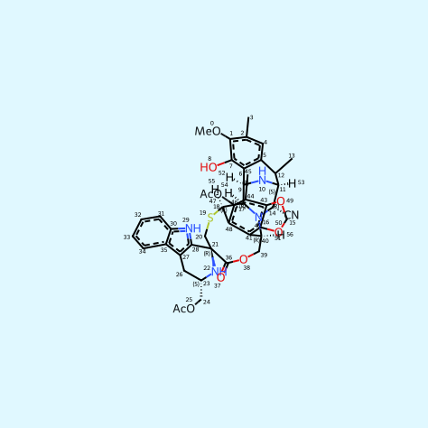 COc1c(C)cc2c(c1O)[C@H]1N[C@@H](C2C)[C@H](C#N)N2[C@H]1[C@@H]1SC[C@]3(N[C@H](COC(C)=O)Cc4c3[nH]c3ccccc43)C(=O)OC[C@H]2c2c3c(c(C)c(OC(C)=O)c21)OCO3